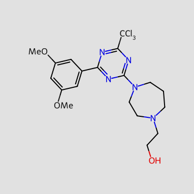 COc1cc(OC)cc(-c2nc(N3CCCN(CCO)CC3)nc(C(Cl)(Cl)Cl)n2)c1